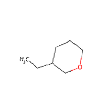 CCC1CCCOC1